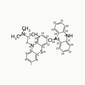 CC(CN1c2ccccc2Sc2ccccc21)N(C)C.Cl[As]1c2ccccc2Nc2ccccc21